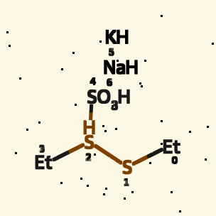 CCS[SH](CC)S(=O)(=O)O.[KH].[NaH]